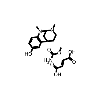 CN1CCC2CC1N(C)c1ccc(O)cc12.COC(N)=O.O=C(O)C=CC(=O)O